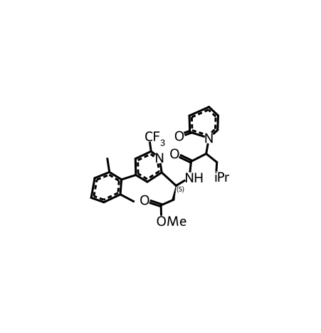 COC(=O)C[C@H](NC(=O)C(CC(C)C)n1ccccc1=O)c1cc(-c2c(C)cccc2C)cc(C(F)(F)F)n1